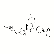 CCCC(=O)N1CCC(N(C(=O)Nc2ncc(SCCNCC)s2)[C@H]2CC[C@H](C)CC2)CC1